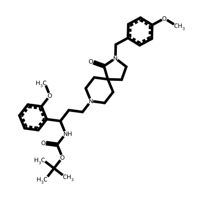 COc1ccc(CN2CCC3(CCN(CCC(NC(=O)OC(C)(C)C)c4ccccc4OC)CC3)C2=O)cc1